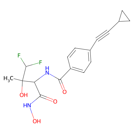 CC(O)(C(F)F)C(NC(=O)c1ccc(C#CC2CC2)cc1)C(=O)NO